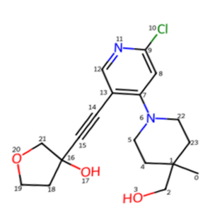 CC1(CO)CCN(c2cc(Cl)ncc2C#CC2(O)CCOC2)CC1